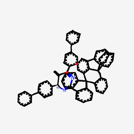 C=C1C(c2ccc(-c3ccccc3)cc2)=NC(c2ccccc2C2(c3ccccc3)c3ccccc3C3(c4ccccc4)c4ccccc4-c4cccc2c43)=N[C@H]1c1ccc(-c2ccccc2)cc1